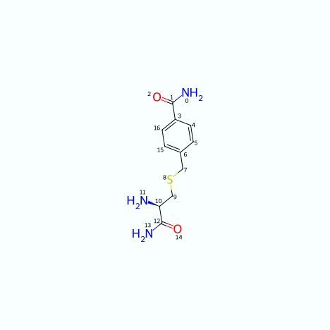 NC(=O)c1ccc(CSC[C@H](N)C(N)=O)cc1